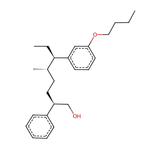 CCCCOc1cccc([C@H](CC)[C@@H](C)CC[C@@H](CO)c2ccccc2)c1